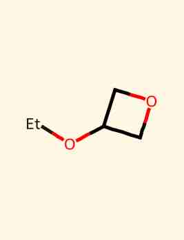 CCOC1COC1